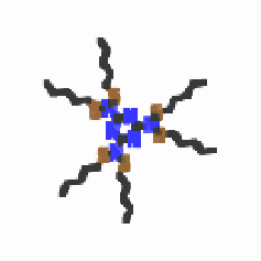 CCCCCSN(SCCCCC)c1nc(N(SCCCCC)SCCCCC)nc(N(SCCCCC)SCCCCC)n1